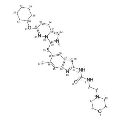 O=C(NCCN1CCOCC1)Nc1nc2cc(F)c(Sc3nnc4ccc(OC5CCCCC5)nn34)cc2s1